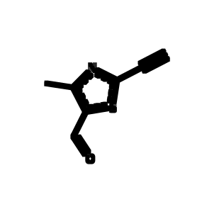 C#Cc1nc(C)c(C=O)s1